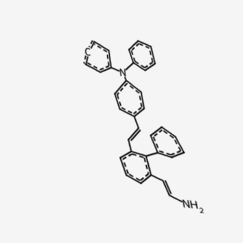 NC=Cc1cccc(C=Cc2ccc(N(c3ccccc3)c3ccccc3)cc2)c1-c1ccccc1